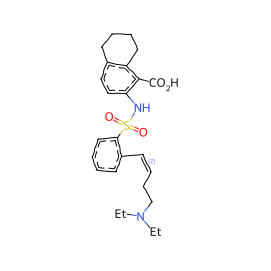 CCN(CC)CC/C=C\c1ccccc1S(=O)(=O)Nc1ccc2c(c1C(=O)O)CCCC2